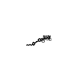 CCCCCc1ccc(C#Cc2ccc(CC(=O)C(N)CC/N=C\NC)cc2)cc1